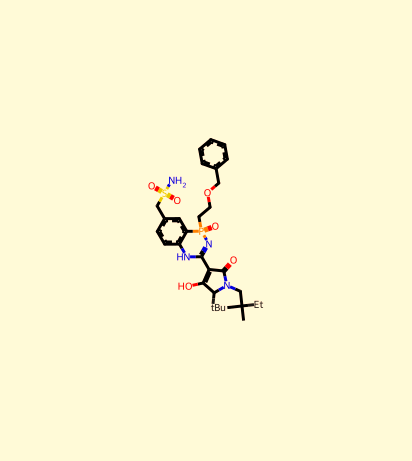 CCC(C)(C)CN1C(=O)C(C2=NP(=O)(CCOCc3ccccc3)c3cc(CS(N)(=O)=O)ccc3N2)=C(O)C1C(C)(C)C